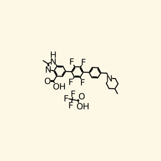 Cc1nc2c(C(=O)O)cc(-c3c(F)c(F)c(-c4ccc(CN5CCC(C)CC5)cc4)c(F)c3F)cc2[nH]1.O=C(O)C(F)(F)F